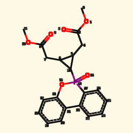 COC(=O)CC1C(CC(=O)OC)C1P1(=O)Oc2ccccc2-c2ccccc21